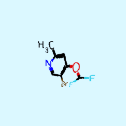 Cc1cc(OC(F)F)c(Br)cn1